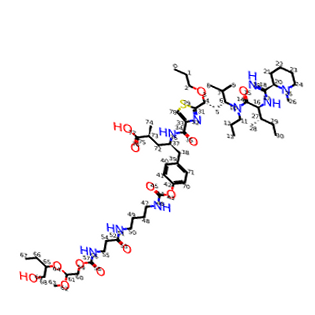 CCCO[C@H](C[C@H](C(C)C)N(CCC)C(=O)[C@@H](NC(=N)[C@H]1CCCCN1C)[C@@H](C)CC)c1nc(C(=O)N[C@@H](Cc2ccc(OC(=O)NCCCCNC(=O)CCNC(=O)OCC(OC)OC(CC)CO)cc2)C[C@H](C)C(=O)O)cs1